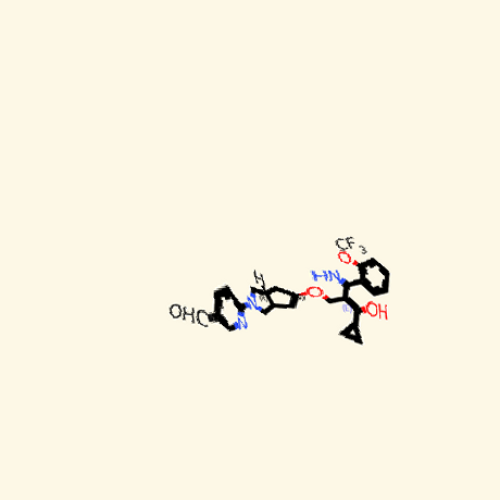 N=C(/C(CO[C@H]1CC2CN(c3ccc(C=O)cn3)C[C@@H]2C1)=C(\O)C1CC1)c1ccccc1OC(F)(F)F